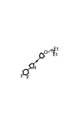 CCN(CC)CCOc1ccc(C#Cc2ccc(-c3ccc(F)c(F)c3)cn2)cc1